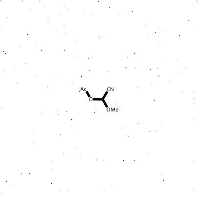 CO[C](C#N)OC(C)=O